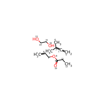 C=C=C(C)C.C=CCOC(=O)CC.OCCO